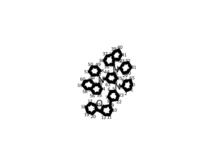 c1ccc(N(c2ccc(-c3cccc4c3oc3ccccc34)cc2)c2cc(N(c3ccccc3)c3cccc4ccccc34)cc(N(c3ccccc3)c3cccc4ccccc34)c2)cc1